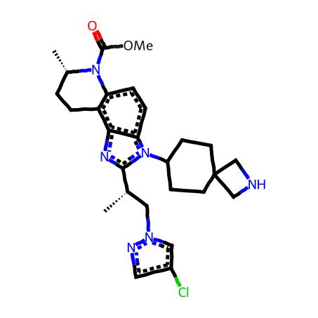 COC(=O)N1c2ccc3c(nc([C@@H](C)Cn4cc(Cl)cn4)n3C3CCC4(CC3)CNC4)c2CC[C@@H]1C